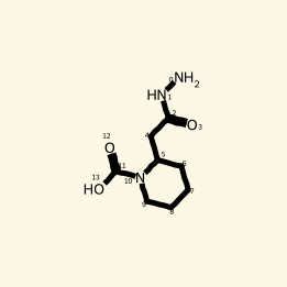 NNC(=O)CC1CCCCN1C(=O)O